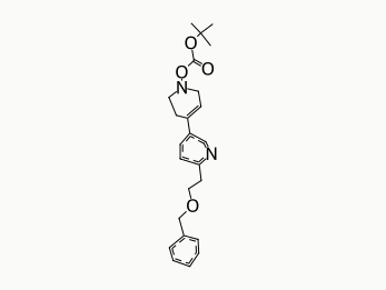 CC(C)(C)OC(=O)ON1CC=C(c2ccc(CCOCc3ccccc3)nc2)CC1